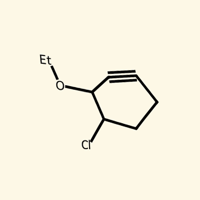 CCOC1C#CCCC1Cl